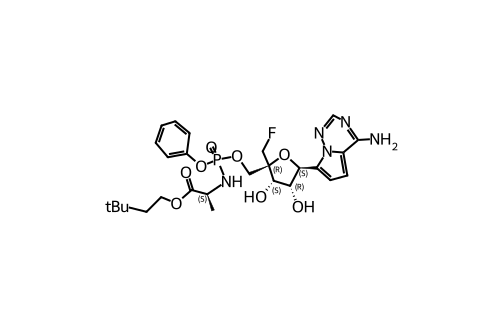 C[C@H](NP(=O)(OC[C@@]1(CF)O[C@@H](c2ccc3c(N)ncnn23)[C@H](O)[C@@H]1O)Oc1ccccc1)C(=O)OCCC(C)(C)C